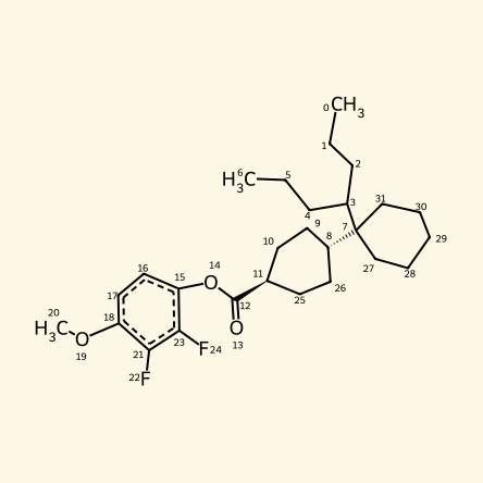 CCCC(CCC)C1([C@H]2CC[C@H](C(=O)Oc3ccc(OC)c(F)c3F)CC2)CCCCC1